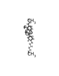 CCCCCCCc1ccc(C(=O)Oc2ccc(CCC)c(F)c2F)cc1